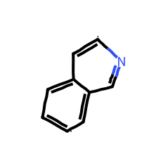 [c]1ccc2c[c]ncc2c1